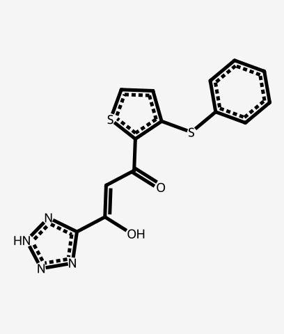 O=C(C=C(O)c1nn[nH]n1)c1sccc1Sc1ccccc1